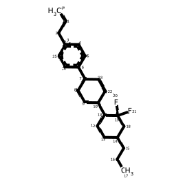 CCCc1ccc(C2CCC(C3CCC(CCC)CC3(F)F)CC2)cc1